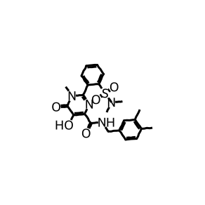 Cc1ccc(CNC(=O)c2nc(-c3ccccc3S(=O)(=O)N(C)C)n(C)c(=O)c2O)cc1C